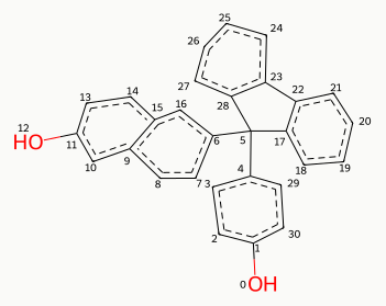 Oc1ccc(C2(c3ccc4cc(O)ccc4c3)c3ccccc3-c3ccccc32)cc1